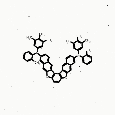 Cc1ccccc1N(c1cc(C)c(C)c(C)c1)c1ccc2cc3c(cc2c1)oc1ccc2oc4cc5cc(N(c6cc(C)c(C)c(C)c6)c6ccccc6C)ccc5cc4c2c13